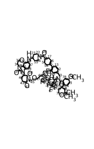 COc1ccc([C@]2(CCN(Cc3ccc(C4=CC[C@H](C(=O)N5CCC(Nc6ccc7c8c6OCCn8c(=O)n7C6CCC(=O)N(COCC[Si](C)(C)C)C6=O)CC5)CC4)c(F)c3)CC(C)(C)C(F)(F)F)CCOC(C)(C)C2)cc1